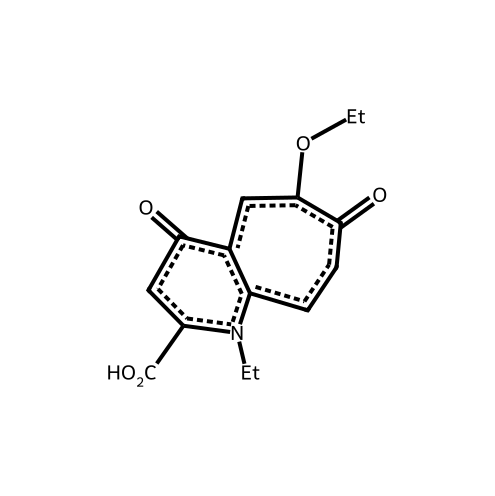 CCOc1cc2c(=O)cc(C(=O)O)n(CC)c2ccc1=O